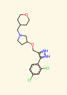 Clc1ccc(-c2[nH][nH]c2COC2CCN(CC3CCOCC3)C2)c(Cl)c1